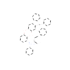 C/C=C\C(=C/C)N(c1cccc(CC)c1)c1cccc2c1Oc1c(ccc3c1-c1ccccc1C31c3ccccc3-c3ccccc31)O2